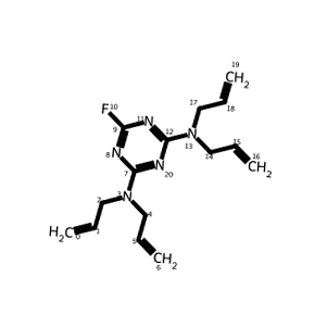 C=CCN(CC=C)c1nc(F)nc(N(CC=C)CC=C)n1